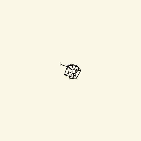 I[C]12[CH]3[CH]4[CH]5[CH]1[Fe]45321678[CH]2[CH]1[CH]6[CH]7[CH]28